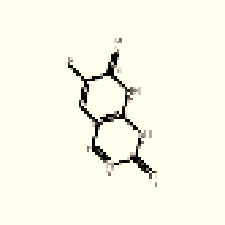 Cc1cc2cnc(=O)[nH]c2[nH]c1=S